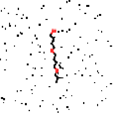 CC(C)COCCCCOCCCCO